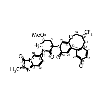 CO[C@@H](C)CC(C(=O)Nc1ccc2nn(C)c(=O)n2c1)n1cc2c(cc1=O)-c1cc(Cl)ccc1C[C@@H](C(F)(F)F)CO2